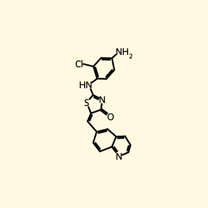 Nc1ccc(NC2=NC(=O)C(=Cc3ccc4ncccc4c3)S2)c(Cl)c1